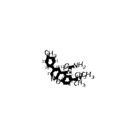 COC(C)(C)c1ccc2c(c1)[C@@]1(COC(N)=N1)c1cc(-c3ccc(C)cc3)cnc1O2